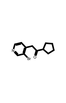 O=C(Cc1ccncc1Br)C1CCCC1